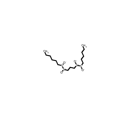 CCCCCC[S+]([O-])[S+]([O-])CCC[S+]([O-])[S+]([O-])CCCCCC